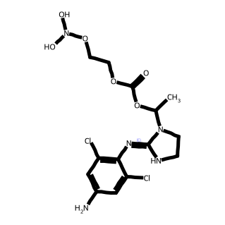 CC(OC(=O)OCCON(O)O)N1CCN/C1=N\c1c(Cl)cc(N)cc1Cl